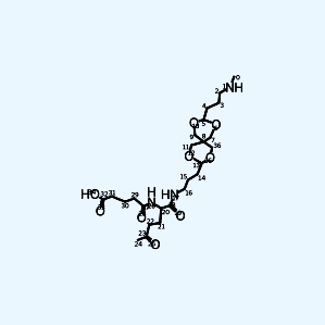 CNCCCC1OCC2(CO1)COC(CCCNC(=O)C(CCC(C)=O)NC(=O)CCCC(=O)O)OC2